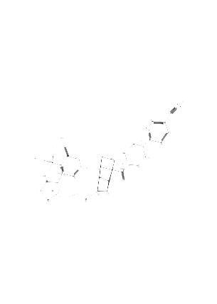 N#Cc1ccc(N2CCN(C(=O)C34C5C6C3C3C4C5C63COC[C@@H]3CCCC3c3cn[nH]c(=O)c3C(F)(F)F)CC2)nc1